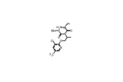 CC(C)[C@H](N)C(=O)N(C(=O)OC(C)(C)C)C(C)COc1ncc(C(F)(F)F)cc1Cl